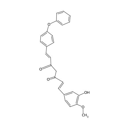 COc1ccc(C=CC(=O)CC(=O)C=Cc2ccc(Oc3ccccc3)cc2)cc1O